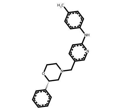 Cc1ccc(Nc2ccc(CN3CCO[C@@H](c4ccccc4)C3)cn2)cc1